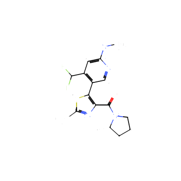 CCOC(=O)c1nc(C(=O)N2CCC[C@@H]2C)c(-c2cnc(NC(C)(C)C)cc2C(F)F)s1